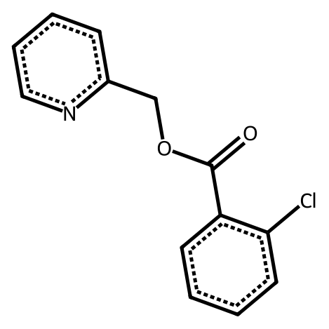 O=C(OCc1ccccn1)c1ccccc1Cl